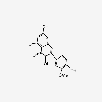 COc1cc(C2=Nc3cc(O)cc(O)c3C(=O)C2O)ccc1O